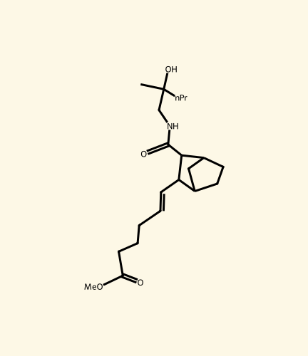 CCCC(C)(O)CNC(=O)C1C2CCC(C2)C1C=CCCCC(=O)OC